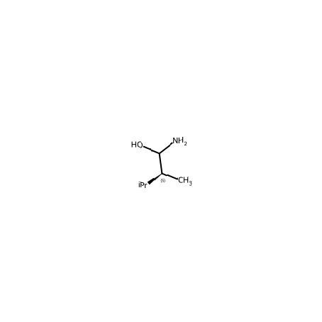 CC(C)[C@H](C)C(N)O